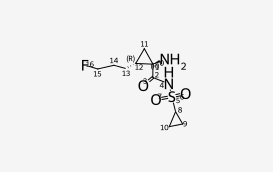 N[C@]1(C(=O)NS(=O)(=O)C2CC2)C[C@H]1CCCF